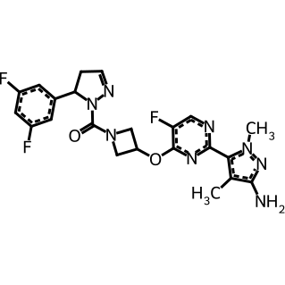 Cc1c(N)nn(C)c1-c1ncc(F)c(OC2CN(C(=O)N3N=CCC3c3cc(F)cc(F)c3)C2)n1